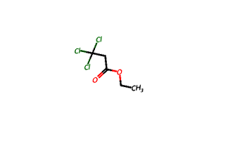 CCOC(=O)CC(Cl)(Cl)Cl